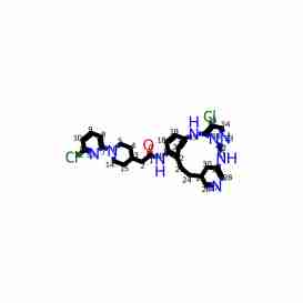 O=C(CC1CCN(c2cccc(Cl)n2)CC1)Nc1ccc2cc1CCC1C=NC=C(C1)Nc1ncc(Cl)c(n1)N2